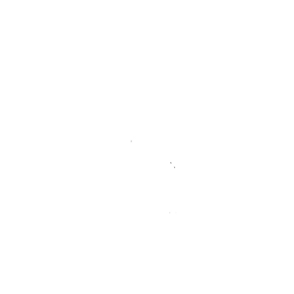 c1ccc(OCC2COCC[N]2)cc1